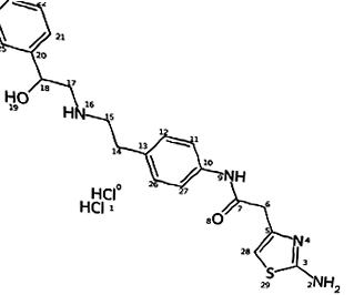 Cl.Cl.Nc1nc(CC(=O)Nc2ccc(CCNCC(O)c3ccccc3)cc2)cs1